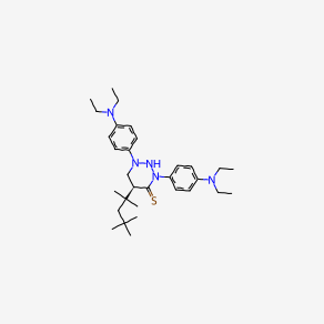 CCN(CC)c1ccc(N2C[C@H](C(C)(C)CC(C)(C)C)C(=S)N(c3ccc(N(CC)CC)cc3)N2)cc1